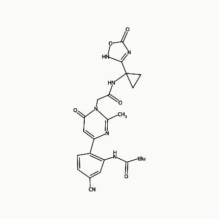 Cc1nc(-c2ccc(C#N)cc2NC(=O)C(C)(C)C)cc(=O)n1CC(=O)NC1(c2nc(=O)o[nH]2)CC1